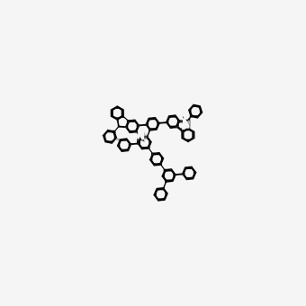 c1ccc(-c2cc(-c3ccccc3)cc(-c3ccc(-c4cc(-c5ccccc5)nc(-c5cc(-c6ccc7c(c6)c6ccccc6n7-c6ccccc6)ccc5-c5ccc6c(c5)-c5ccccc5C6c5ccccc5)c4)cc3)c2)cc1